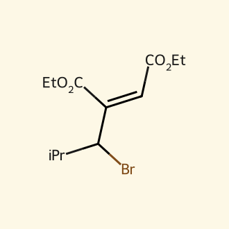 CCOC(=O)/C=C(\C(=O)OCC)C(Br)C(C)C